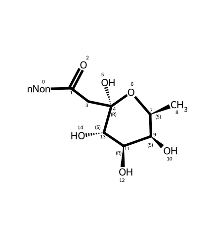 CCCCCCCCCC(=O)C[C@@]1(O)O[C@@H](C)[C@@H](O)[C@@H](O)[C@@H]1O